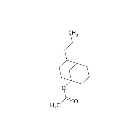 CCCC1CC[C@]2(OC(C)=O)CCCC1C2